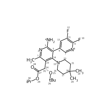 Cc1nc(N)c(-c2cnc(F)c(F)c2)c(N2CCC(C)(C)CC2)c1[C@H](OC(C)(C)C)C(=O)OC(C)C